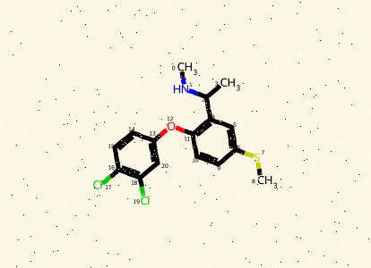 CNC(C)c1cc(SC)ccc1Oc1ccc(Cl)c(Cl)c1